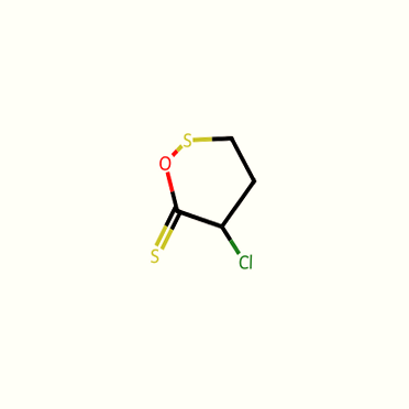 S=C1OSCCC1Cl